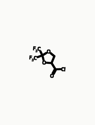 O=C(Cl)C1COC(C(F)(F)F)(C(F)(F)F)O1